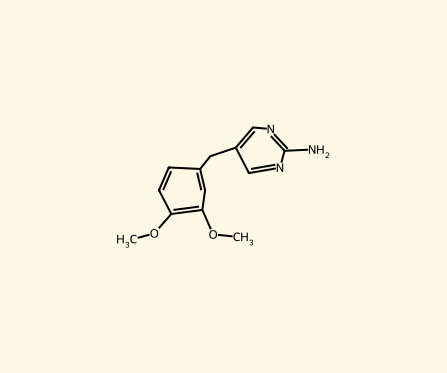 COc1ccc(Cc2cnc(N)nc2)cc1OC